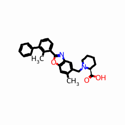 Cc1cc2oc(-c3cccc(-c4ccccc4)c3C)nc2cc1CN1CCCC[C@H]1C(=O)O